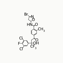 Cc1cc(C(=O)CC(O)(c2cc(Cl)c(F)c(Cl)c2)C(F)(F)F)ccc1C(=O)NC1CC(Br)=NO1